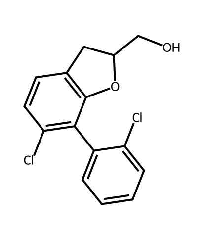 OCC1Cc2ccc(Cl)c(-c3ccccc3Cl)c2O1